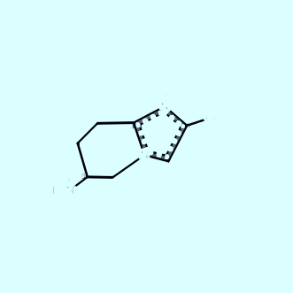 CCOC(=O)c1cn2c(n1)CCC(N)C2